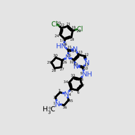 CN1CCN(c2ccc(Nc3ncc4nc(Nc5cc(Cl)cc(Cl)c5)n(C5CCCC5)c4n3)cc2)CC1